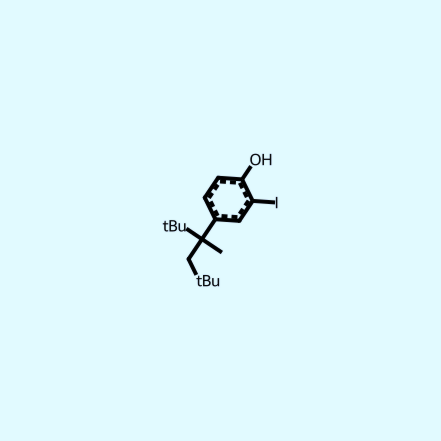 CC(C)(C)CC(C)(c1ccc(O)c(I)c1)C(C)(C)C